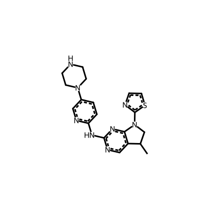 CC1CN(c2nccs2)c2nc(Nc3ccc(N4CCNCC4)cn3)ncc21